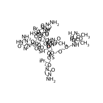 Cc1cn([C@H]2C[C@@H](OP(=S)(OCCOCCOCCNC(=O)CC(C)(C)OC(C)(C)CN)OCC3O[C@@H](n4ccc(N)nc4=O)C[C@H]3C(C)C)C(COP(=O)(S)O[C@@H]3C[C@H](n4cnc5c(=O)[nH]c(N)nc54)OC3COP(=O)(S)O[C@@H]3C[C@H](n4ccc(N)nc4=O)OC3COP(=O)(S)O[C@@H]3C[C@H](n4cc(Br)c(=O)[nH]c4=O)OC3CO)O2)c(=O)[nH]c1=O